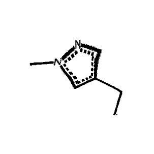 [CH2]Cc1cnn(C)c1